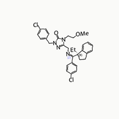 CC[C@@]1(/C(=N\Cc2nn(Cc3ccc(Cl)cc3)c(=O)n2CCOC)c2ccc(Cl)cc2)CCc2ccccc21